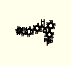 O=C(Nc1ccc(N2CCN(Cc3ncc[nH]3)CC2)cc1)C1=C(c2ccc(C(F)(F)F)cc2)CCCC1